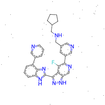 Fc1c(-c2cncc(CNCC3CCCC3)c2)ncc2[nH]nc(-c3nc4c(-c5cccnc5)cccc4[nH]3)c12